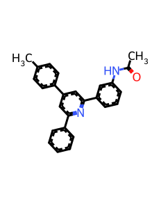 CC(=O)Nc1cccc(-c2cc(-c3ccc(C)cc3)cc(-c3ccccc3)n2)c1